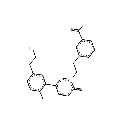 Cc1ccc(CCBr)cc1-c1ccc(=O)n(CCc2cccc(C(=O)O)c2)n1